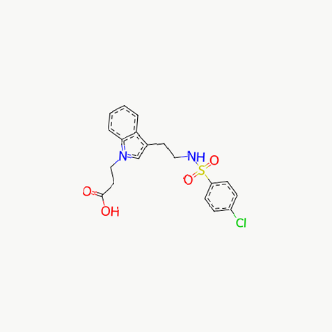 O=C(O)CCn1cc(CCNS(=O)(=O)c2ccc(Cl)cc2)c2ccccc21